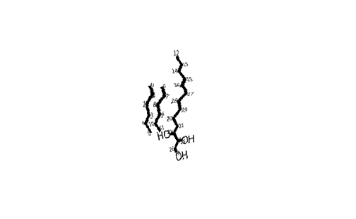 CCCCCC.CCCCCC.CCCCCCCCCCC(O)C(O)CO